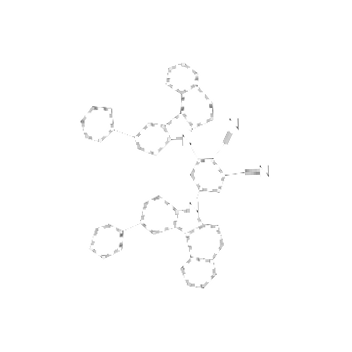 N#Cc1cc(-n2c3ccc(-c4ccccc4)cc3c3c4ccccc4ccc32)cc(-n2c3ccc(-c4ccccc4)cc3c3c4ccccc4ccc32)c1C#N